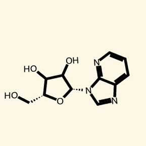 OC[C@H]1O[C@@H](n2cnc3cccnc32)C(O)C1O